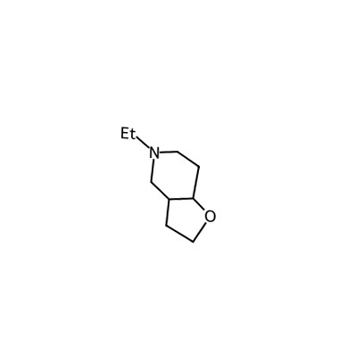 CCN1CCC2OCCC2C1